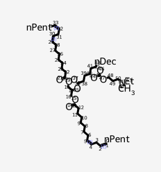 CCCCC/C=C\C/C=C\CCCCCCCC(=O)OCC(COC(=O)CCCCCCC/C=C\C/C=C\CCCCC)OC(=O)CCC(CCCCCCCCCCCC)OC(=O)OCCCN(C)CC